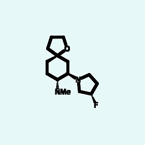 CN[C@@H]1CC[C@]2(CCCO2)C[C@H]1N1CC[C@H](F)C1